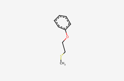 CSCCOc1c[c]ccc1